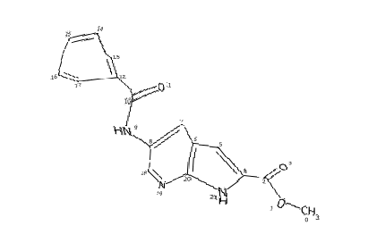 COC(=O)c1cc2cc(NC(=O)c3ccccc3)cnc2[nH]1